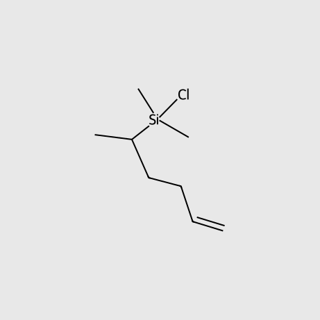 C=CCCC(C)[Si](C)(C)Cl